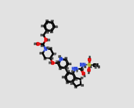 CS(=O)(=O)NC(=O)Nc1c(-c2ccnc(OC3CCN(C(=O)OCc4ccccc4)CC3)c2)ccc2c1CCC2